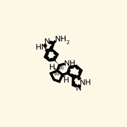 Nc1n[nH]c2ccc([C@@H]3Nc4ccc5[nH]ncc5c4[C@H]4CCC[C@H]43)cc12